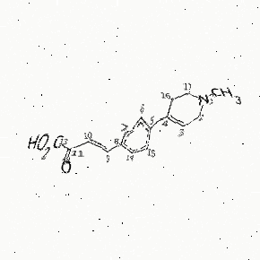 CN1CC=C(c2ccc(C=CC(=O)C(=O)O)cc2)CC1